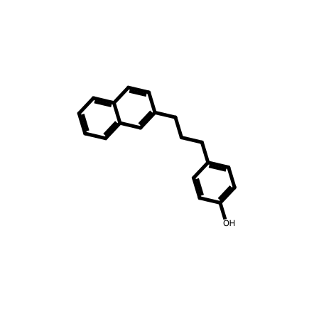 Oc1ccc(CCCc2ccc3ccccc3c2)cc1